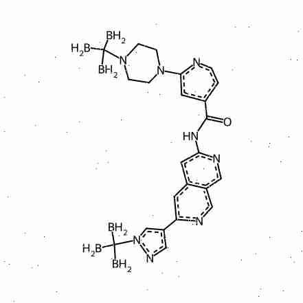 BC(B)(B)N1CCN(c2cc(C(=O)Nc3cc4cc(-c5cnn(C(B)(B)B)c5)ncc4cn3)ccn2)CC1